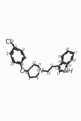 Clc1ccc(OC2CCN(CCc3c[nH]c4ccccc34)CC2)cc1